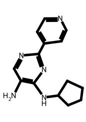 Nc1cnc(-c2ccncc2)nc1NC1CCCC1